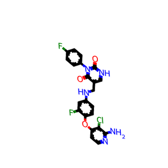 Nc1nccc(Oc2ccc(NCc3c[nH]c(=O)n(-c4ccc(F)cc4)c3=O)cc2F)c1Cl